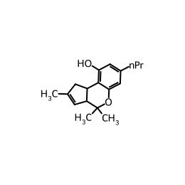 CCCc1cc(O)c2c(c1)OC(C)(C)C1C=C(C)CC21